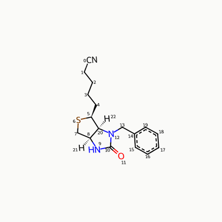 N#CCCCC[C@@H]1SC[C@@H]2NC(=O)N(Cc3ccccc3)[C@@H]21